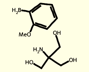 Bc1ccccc1OC.NC(CO)(CO)CO